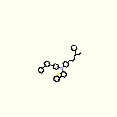 C=C/C(=C\C=C/Cc1ccc(N(c2ccc(-c3cccc(-c4ccccc4)c3)cc2)c2cccc3c2sc2ccccc23)cc1)C1=CCCC=C1